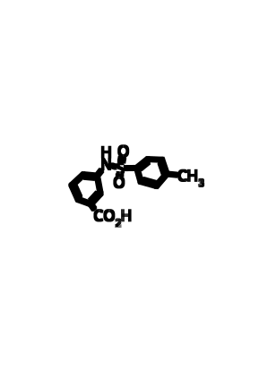 Cc1ccc(S(=O)(=O)Nc2cccc(C(=O)O)c2)cc1